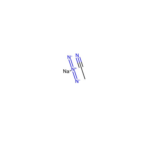 CC#N.[N-]=[N+]=[N-].[Na+]